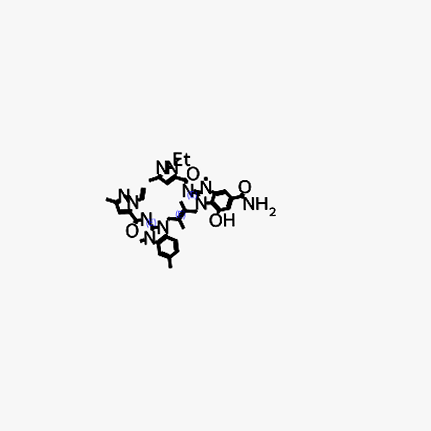 C=Cn1nc(C)cc1C(=O)/N=c1\n(C)c2cc(C)ccc2n1C/C(C)=C(\C)Cn1/c(=N/C(=O)c2cc(C)nn2CC)n(C)c2cc(C(N)=O)cc(O)c21